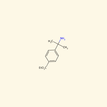 CCOC(=O)c1ccc(C(C)(C)N)cc1